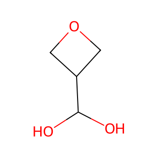 OC(O)C1COC1